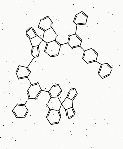 c1ccc(-c2ccc(-c3cc(-c4ccccc4)nc(-c4cccc5c4Sc4ccccc4C54c5ccccc5-c5cc(-c6cccc(-c7cc(-c8ccccc8)nc(-c8cccc9c8Sc8ccccc8C98c9ccccc9-c9ccccc98)n7)c6)ccc54)n3)cc2)cc1